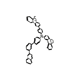 c1cc(-c2ccc(N(c3ccc(-c4ccc5sc6ccccc6c5c4)cc3)c3ccc4oc5ccccc5c4c3)cc2)cc(-c2ccc3ccccc3c2)c1